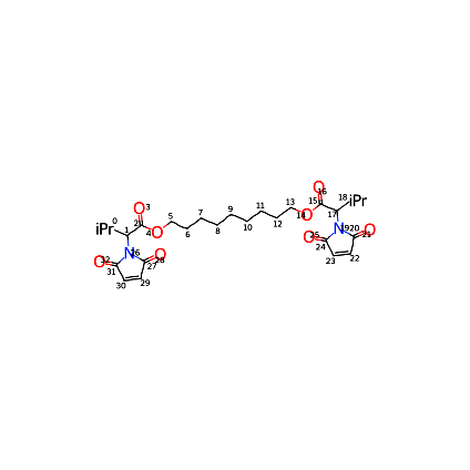 CC(C)C(C(=O)OCCCCCCCCCOC(=O)C(C(C)C)N1C(=O)C=CC1=O)N1C(=O)C=CC1=O